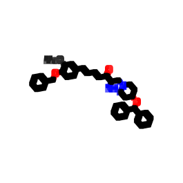 COc1cc(C=CC=CC(=O)C(N)CN2CCC(OC(c3ccccc3)c3ccccc3)CC2)ccc1OCc1ccccc1